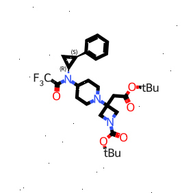 CC(C)(C)OC(=O)CC1(N2CCC(N(C(=O)C(F)(F)F)[C@@H]3C[C@H]3c3ccccc3)CC2)CN(C(=O)OC(C)(C)C)C1